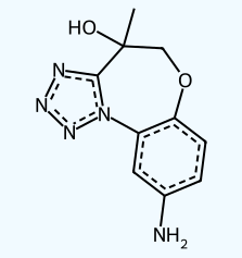 CC1(O)COc2ccc(N)cc2-n2nnnc21